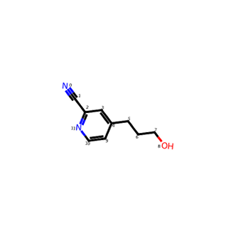 N#Cc1cc(CCCO)ccn1